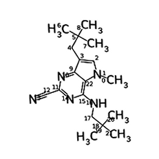 Cn1cc(CC(C)(C)C)c2nc(C#N)nc(NCC(C)(C)C)c21